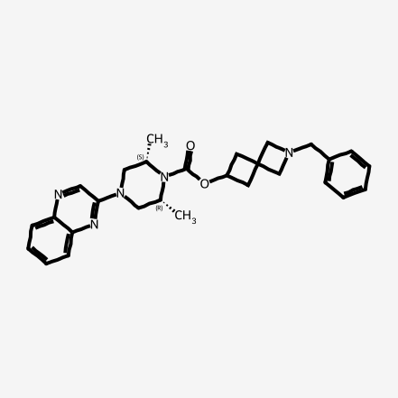 C[C@@H]1CN(c2cnc3ccccc3n2)C[C@H](C)N1C(=O)OC1CC2(C1)CN(Cc1ccccc1)C2